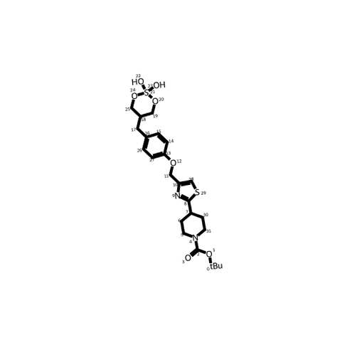 CC(C)(C)OC(=O)N1CCC(c2nc(COc3ccc(CC4COS(O)(O)OC4)cc3)cs2)CC1